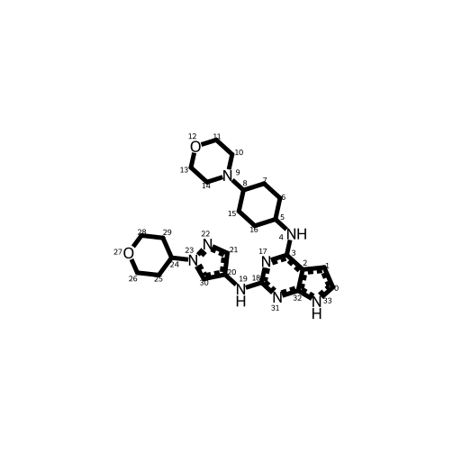 c1cc2c(NC3CCC(N4CCOCC4)CC3)nc(Nc3cnn(C4CCOCC4)c3)nc2[nH]1